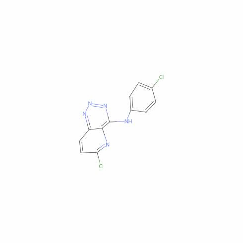 Clc1ccc(Nc2nnnc3ccc(Cl)nc23)cc1